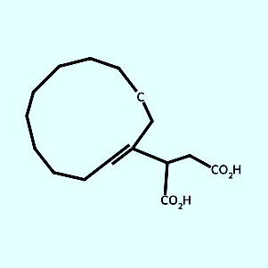 O=C(O)CC(C(=O)O)/C1=C\CCCCCCCCCC1